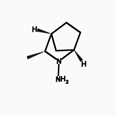 C[C@@H]1[C@H]2CC[C@H](C2)N1N